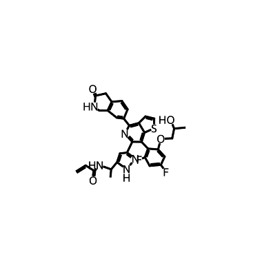 C=CC(=O)NC(C)c1cc(-c2nc(-c3ccc4c(c3)CNC(=O)C4)c3ccsc3c2-c2c(F)cc(F)cc2OCC(C)O)n[nH]1